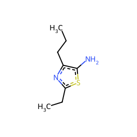 CCCc1nc(CC)sc1N